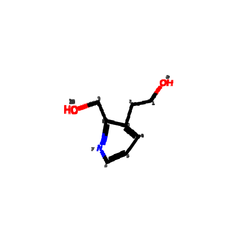 OCCc1cccnc1CO